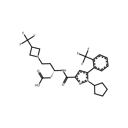 O=C(O)C[C@H](CCN1CC(C(F)(F)F)C1)NC(=O)c1cc(-c2ccccc2C(F)(F)F)n(C2CCCC2)n1